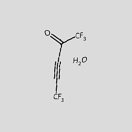 O.O=C(C#CC(F)(F)F)C(F)(F)F